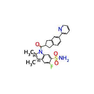 C[C@@H]1[C@@H](C)c2cc(F)c(S(N)(=O)=O)cc2N1C(=O)C1Cc2ccc(-c3ccccn3)cc2C1